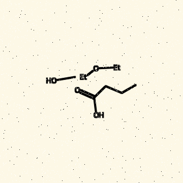 CCCC(=O)O.CCOCC.CO